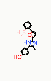 Bc1ccccc1-c1ccc(-c2nc(C)c(-c3ccc(O)cc3)[nH]2)o1